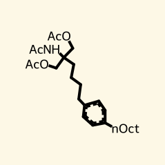 CCCCCCCCc1ccc(CCCCC(COC(C)=O)(COC(C)=O)NC(C)=O)cc1